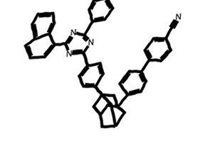 N#Cc1ccc(-c2ccc(C34CC5CC(C3)CC(c3ccc(-c6nc(-c7ccccc7)nc(-c7cccc8ccccc78)n6)cc3)(C5)C4)cc2)cc1